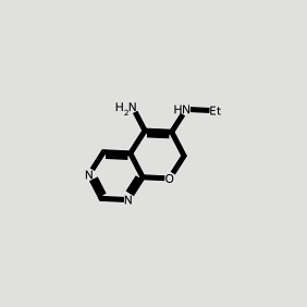 CCNC1=C(N)c2cncnc2OC1